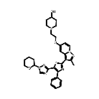 Cc1nn2ccc(OCCN3CCC(O)CC3)cc2c1-c1nc(-c2ccccc2)c(-c2ncn(C3CCCCO3)n2)s1